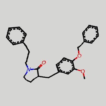 COc1cc(CC2CCN(CCc3ccccc3)C2=O)ccc1OCc1ccccc1